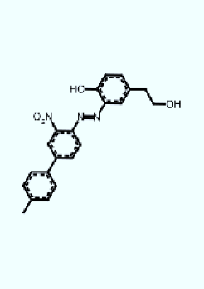 Cc1ccc(-c2ccc(N=Nc3cc(CCO)ccc3O)c([N+](=O)[O-])c2)cc1